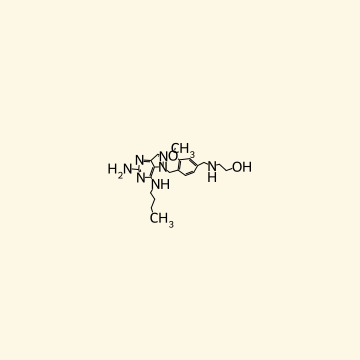 CCCCNc1nc(N)nc2cnn(Cc3ccc(CNCCO)cc3OC)c12